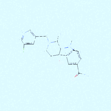 CC1[C@@H](N(C)C)[C@@](O)(c2cccc(C(N)=O)c2)CCN1Cc1cncc(F)c1